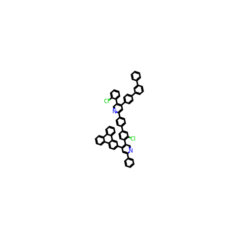 Clc1ccccc1-c1cnc(-c2ccc(-c3ccc(-c4cnc(-c5ccccc5)cc4-c4ccc5c6ccccc6c6ccccc6c5c4)c(Cl)c3)cc2)cc1-c1ccc(-c2cccc(-c3ccccc3)c2)cc1